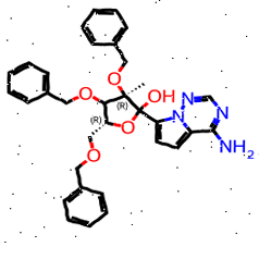 C[C@@]1(OCc2ccccc2)C(OCc2ccccc2)[C@@H](COCc2ccccc2)OC1(O)c1ccc2c(N)ncnn12